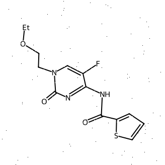 CCOCCn1cc(F)c(NC(=O)c2cccs2)nc1=O